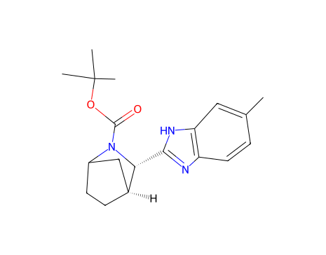 Cc1ccc2nc([C@@H]3[C@H]4CCC(C4)N3C(=O)OC(C)(C)C)[nH]c2c1